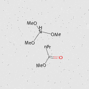 CCCC(=O)OC.CO[SiH](OC)OC